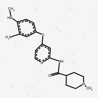 CNc1ccc(Oc2ccnc(NC(=O)C3CCN(C)CC3)c2)cc1N